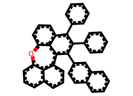 c1ccc(-c2c(-c3ccccc3)c3cccc4oc5cccc6cccc(c(c2-c2ccc7ccccc7c2)c43)c65)cc1